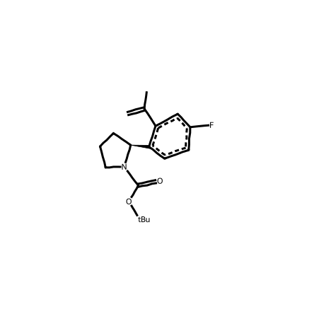 C=C(C)c1cc(F)ccc1[C@@H]1CCCN1C(=O)OC(C)(C)C